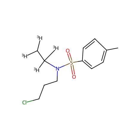 [3H]C([3H])C([3H])([3H])N(CCCCl)S(=O)(=O)c1ccc(C)cc1